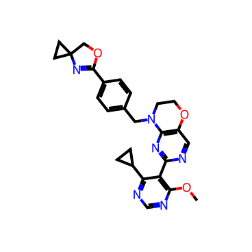 COc1ncnc(C2CC2)c1-c1ncc2c(n1)N(Cc1ccc(C3=NC4(CC4)CO3)cc1)CCO2